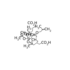 C=C(C)COCCC[Si](O[Si](C)(C)C)(O[Si](C)(C)CCCC(=O)O)O[Si](C)(C)CCCC(=O)O